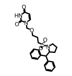 O=c1ccn(COCCCS(=O)(=O)N2CCCC2C(c2ccccc2)c2ccccc2)c(=O)[nH]1